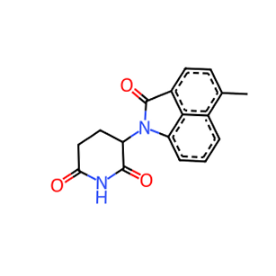 Cc1ccc2c3c(cccc13)N(C1CCC(=O)NC1=O)C2=O